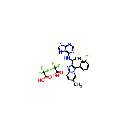 Cc1ccc2nc(C(C)Nc3ncnc4[nH]cnc34)c(-c3cccc(F)c3)n2c1.O=C(O)C(F)(F)F.O=C(O)C(F)(F)F